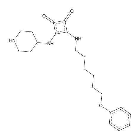 O=c1c(NCCCCCCOc2ccccc2)c(NC2CCNCC2)c1=O